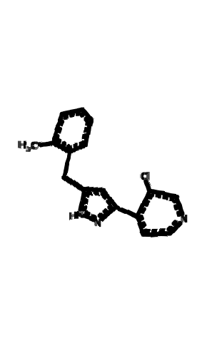 Cc1ccccc1Cc1cc(-c2ccncc2Cl)n[nH]1